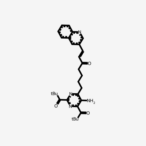 CC(C)(C)C(=O)c1nc(CCCCC(=O)C=Cc2cnc3ccccc3c2)c(N)c(C(=O)C(C)(C)C)n1